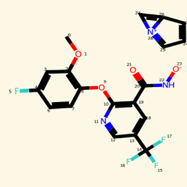 COc1cc(F)ccc1Oc1ncc(C(F)(F)F)cc1C(=O)N[O-].c1cc2c[n+]-2c1